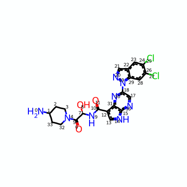 NC1CCN(C(=O)[C@@H](O)NC(=O)c2c[nH]c3ncc(-n4ncc5cc(Cl)c(Cl)cc54)nc23)CC1